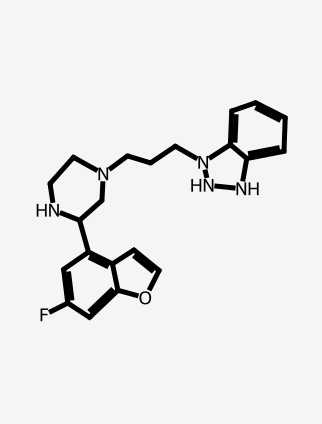 Fc1cc(C2CN(CCCN3NNc4ccccc43)CCN2)c2ccoc2c1